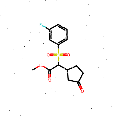 COC(=O)C(C1CCC(=O)C1)S(=O)(=O)c1cccc(F)c1